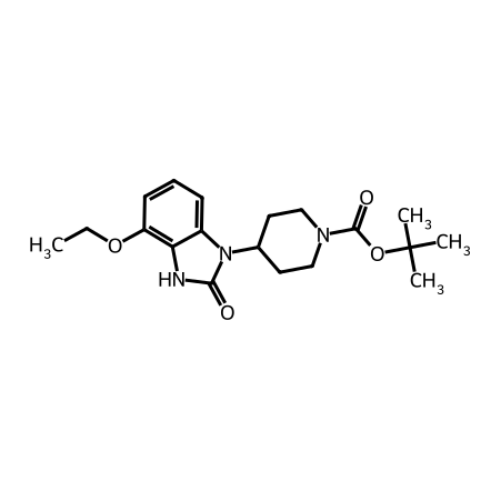 CCOc1cccc2c1[nH]c(=O)n2C1CCN(C(=O)OC(C)(C)C)CC1